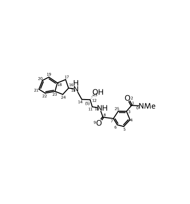 CNC(=O)c1cccc(C(=O)NC[C@@H](O)CNC2Cc3ccccc3C2)c1